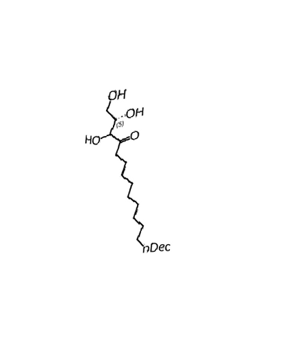 CCCCCCCCCCCCCCCCCCCC(=O)C(O)[C@@H](O)CO